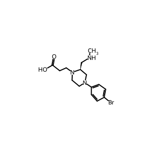 CNC[C@H]1CN(c2ccc(Br)cc2)CCN1CCC(=O)O